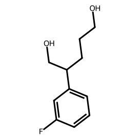 OCCCC(CO)c1cccc(F)c1